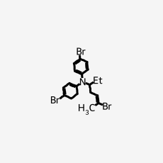 CCC(C/C=C(\C)Br)N(C1=CC=C(Br)CC1)c1ccc(Br)cc1